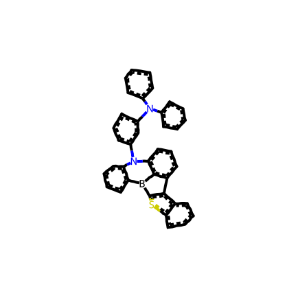 c1ccc(N(c2ccccc2)c2cccc(N3c4ccccc4B4c5sc6ccccc6c5-c5cccc3c54)c2)cc1